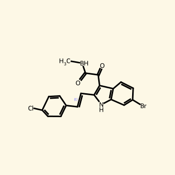 CBC(=O)C(=O)c1c(/C=C/c2ccc(Cl)cc2)[nH]c2cc(Br)ccc12